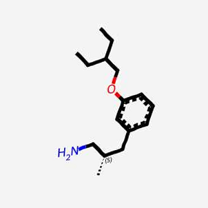 CCC(CC)COc1cccc(C[C@H](C)CN)c1